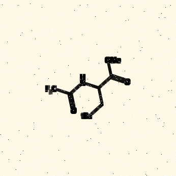 COC(=O)C(CC(C)(C)C)NC(=O)C(F)(F)F